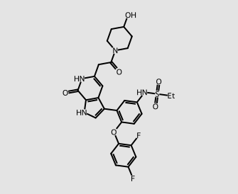 CCS(=O)(=O)Nc1ccc(Oc2ccc(F)cc2F)c(-c2c[nH]c3c(=O)[nH]c(CC(=O)N4CCC(O)CC4)cc23)c1